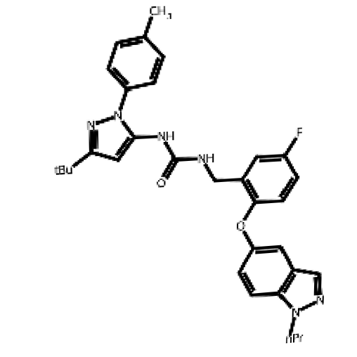 CCCn1ncc2cc(Oc3ccc(F)cc3CNC(=O)Nc3cc(C(C)(C)C)nn3-c3ccc(C)cc3)ccc21